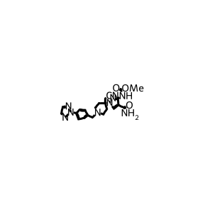 COC(=O)Nc1nn(C2(CC#N)CCN(Cc3ccc(-n4nccn4)cc3)CC2)cc1C(N)=O